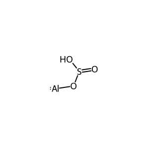 O=S(O)[O][Al]